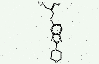 NC/C(=C/F)COc1ccc2nc(N3CCOCC3)oc2c1